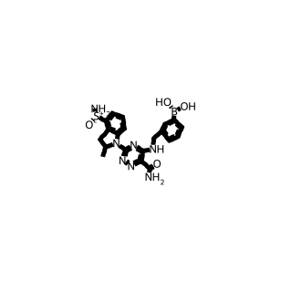 CC1Cc2c(cccc2[S+](N)[O-])N1c1nnc(C(N)=O)c(NCc2cccc(B(O)O)c2)n1